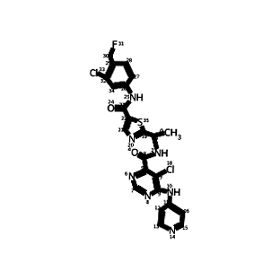 CC(NC(=O)c1ncnc(Nc2ccncc2)c1Cl)c1ncc(C(=O)Nc2ccc(CF)c(Cl)c2)s1